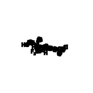 O=C(NS(=O)(=O)c1ccc(N[C@H](CCN2CCO[C@@H](CO)C2)CSc2ccccc2)c(S(=O)(=O)C(F)(F)F)c1)c1ccc(N2CCC([C@H](O)c3ccccc3-c3ccc(Cl)cc3)CC2)cc1